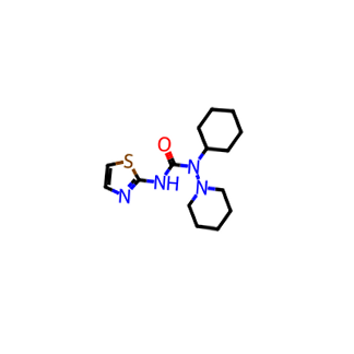 O=C(Nc1nccs1)N(C1CCCCC1)N1CCCCC1